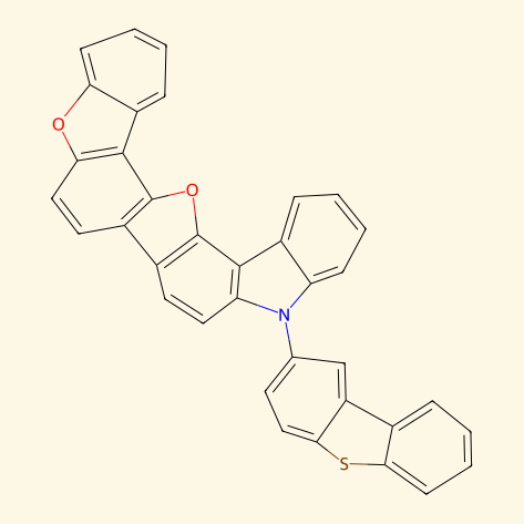 c1ccc2c(c1)oc1ccc3c4ccc5c(c6ccccc6n5-c5ccc6sc7ccccc7c6c5)c4oc3c12